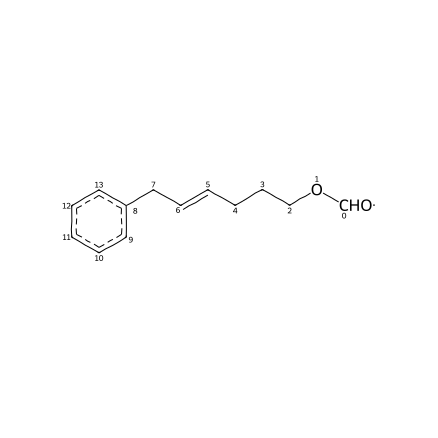 O=[C]OCCC/C=C/Cc1ccccc1